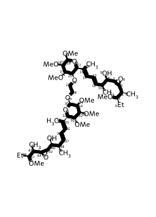 CC[C@H](OC)[C@@H](C)[C@@H]1O[C@H]1[C@H](O)[C@@H](C)/C=C/C=C(\C)[C@@H]1O[C@H](OC)[C@H](OC)[C@@H](OC)[C@H]1OCCO[C@H]1O[C@@H](/C(C)=C/C=C/[C@H](C)[C@@H](O)[C@@H]2O[C@H]2[C@H](C)[C@H](CC)OC)[C@@H](OC)[C@H](OC)[C@@H]1OC